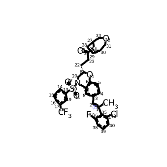 C/C(=C\c1ccc2c(c1)N(S(=O)(=O)c1cccc(C(F)(F)F)c1)C[C@H](CCC(=O)N1C3CCC1COC3)O2)c1c(F)cccc1Cl